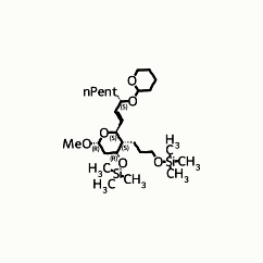 CCCCC[C@@H](C=C[C@@H]1O[C@@H](OC)C[C@@H](O[Si](C)(C)C)[C@H]1CCCO[Si](C)(C)C)OC1CCCCO1